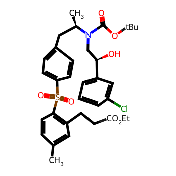 CCOC(=O)CCc1cc(C)ccc1S(=O)(=O)c1ccc(C[C@@H](C)N(C[C@@H](O)c2cccc(Cl)c2)C(=O)OC(C)(C)C)cc1